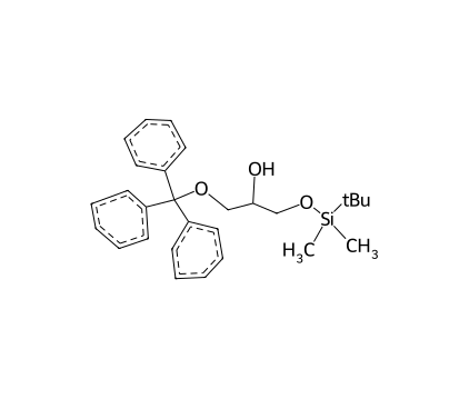 CC(C)(C)[Si](C)(C)OCC(O)COC(c1ccccc1)(c1ccccc1)c1ccccc1